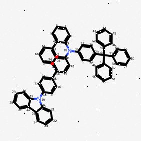 c1ccc(-c2ccccc2N(c2ccc(-c3ccc(-n4c5ccccc5c5ccccc54)cc3)cc2)c2ccc(C(c3ccccc3)(c3ccccc3)c3ccccc3)cc2)cc1